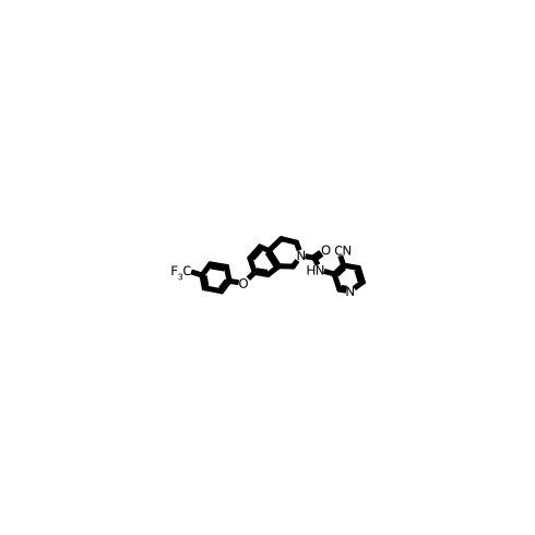 N#Cc1ccncc1NC(=O)N1CCc2ccc(Oc3ccc(C(F)(F)F)cc3)cc2C1